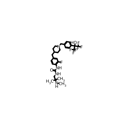 CNC(C)(C)CNC(=O)Nc1ccc(CC2CCN(Cc3ccc(C(O)(C(F)(F)F)C(F)(F)F)cc3)CC2)cc1F